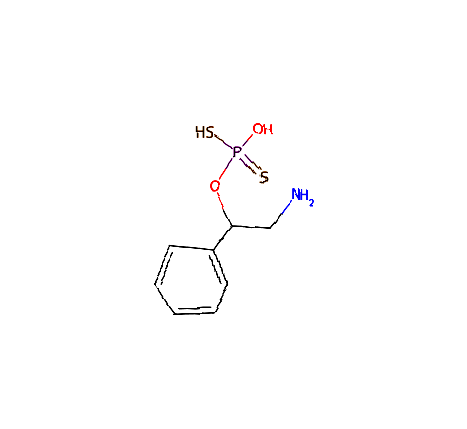 NCC(OP(O)(=S)S)c1ccccc1